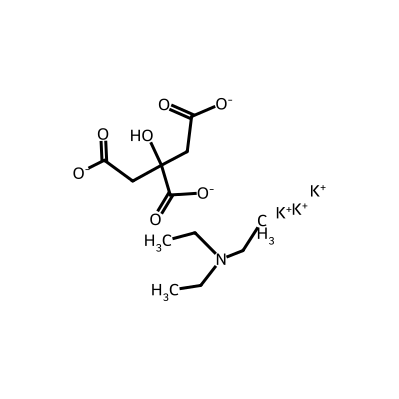 CCN(CC)CC.O=C([O-])CC(O)(CC(=O)[O-])C(=O)[O-].[K+].[K+].[K+]